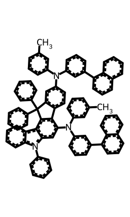 Cc1cccc(N(c2cccc(-c3cccc4ccccc34)c2)c2ccc3c(c2)C(c2ccccc2)(c2ccccc2)c2c-3c(N(c3cccc(C)c3)c3cccc(-c4cccc5ccccc45)c3)cc3c2c2ccccc2n3-c2ccccc2)c1